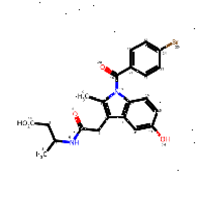 Cc1c(CC(=O)NC(C)CC(=O)O)c2cc(O)ccc2n1C(=O)c1ccc(Br)cc1